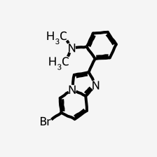 CN(C)c1ccccc1-c1cn2cc(Br)ccc2n1